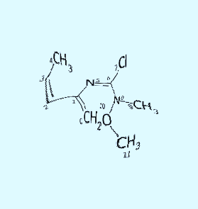 C=C(/C=C\C)/N=C(/Cl)N(C)OC